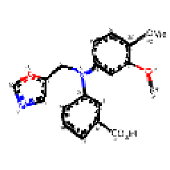 CCOc1cc(N(Cc2cnco2)c2cccc(C(=O)O)c2)ccc1OC